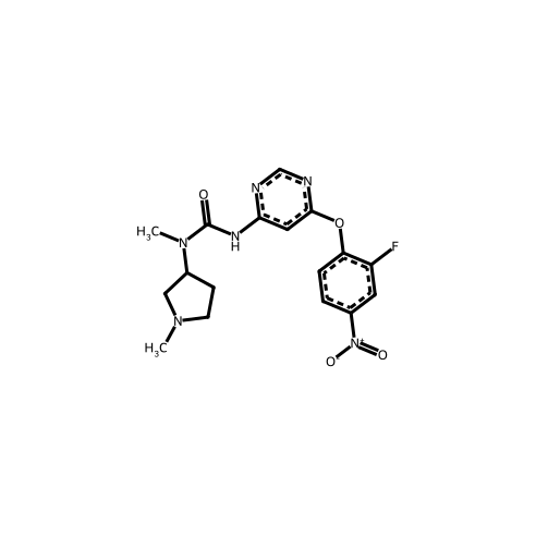 CN1CCC(N(C)C(=O)Nc2cc(Oc3ccc([N+](=O)[O-])cc3F)ncn2)C1